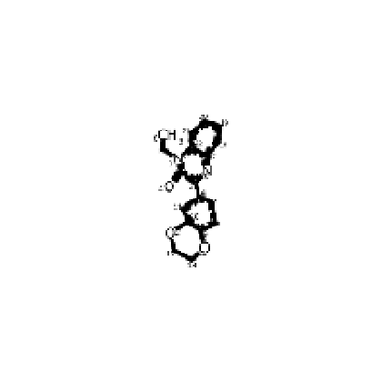 CCn1c(=O)c(-c2ccc3c(c2)OCCO3)nc2ccccc21